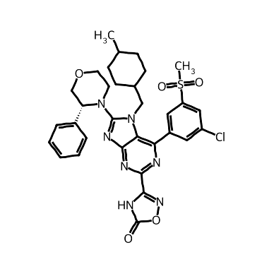 CC1CCC(Cn2c(N3CCOC[C@H]3c3ccccc3)nc3nc(-c4noc(=O)[nH]4)nc(-c4cc(Cl)cc(S(C)(=O)=O)c4)c32)CC1